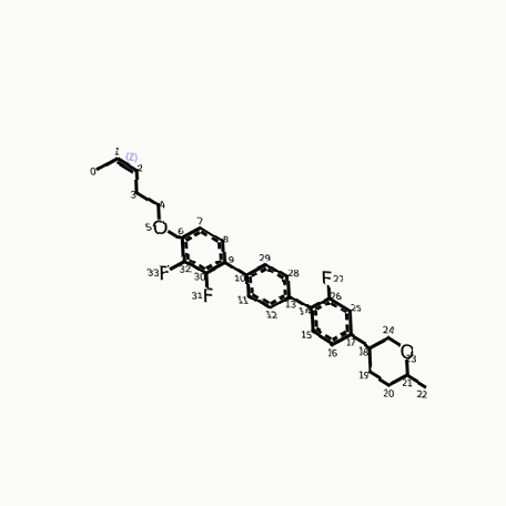 C/C=C\CCOc1ccc(-c2ccc(-c3ccc(C4CCC(C)OC4)cc3F)cc2)c(F)c1F